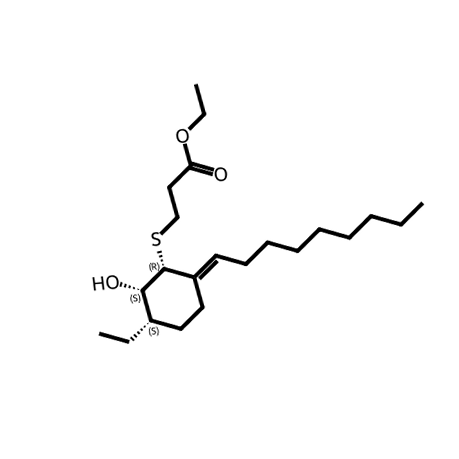 CCCCCCCCC=C1CC[C@H](CC)[C@H](O)[C@@H]1SCCC(=O)OCC